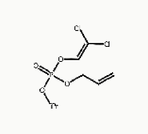 C=CCOP(=O)(OC=C(Cl)Cl)OC(C)C